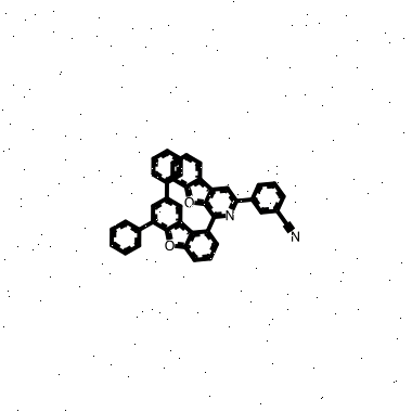 N#Cc1cccc(-c2cc3c(oc4ccccc43)c(-c3cccc4oc5c(-c6ccccc6)cc(-c6ccccc6)cc5c34)n2)c1